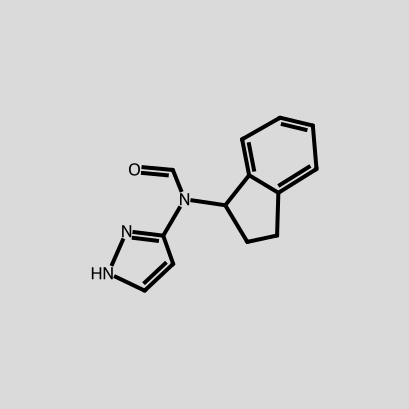 O=CN(c1cc[nH]n1)C1CCc2ccccc21